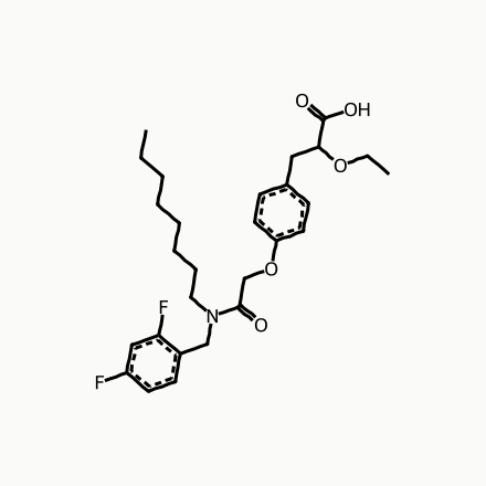 CCCCCCCCN(Cc1ccc(F)cc1F)C(=O)COc1ccc(CC(OCC)C(=O)O)cc1